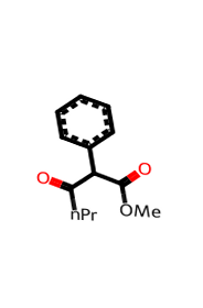 CCCC(=O)C(C(=O)OC)c1ccccc1